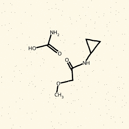 COCC(=O)NC1CC1.NC(=O)O